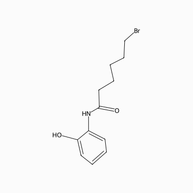 O=C(CCCCCBr)Nc1ccccc1O